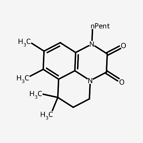 CCCCCn1c(=O)c(=O)n2c3c(c(C)c(C)cc31)C(C)(C)CC2